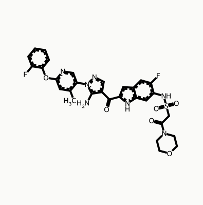 Cc1cc(Oc2ccccc2F)ncc1-n1ncc(C(=O)c2cc3cc(F)c(NS(=O)(=O)CC(=O)N4CCOCC4)cc3[nH]2)c1N